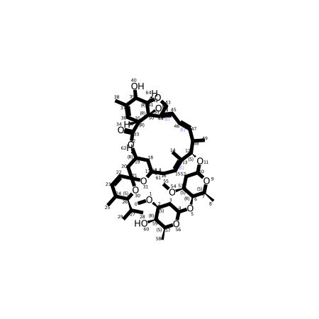 CO[C@H]1CC(O[C@@H]2[C@H](C)OC(O[C@@H]3/C(C)=C/C[C@@H]4C[C@H](CC5(C=CC(C)[C@H](C(C)C)O5)O4)OC(=O)[C@@H]4C=C(C)C(O)[C@H]5OC/C(=C\C=C\C3C)[C@@]54O)C[C@@H]2OC)O[C@@H](C)[C@H]1O